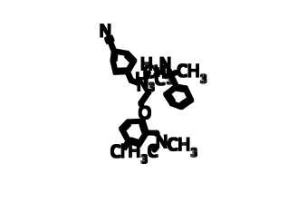 CC(C)(N)c1ccccc1.CN(C)Cc1cc(Cl)ccc1OCCN(C)Cc1ccc(C#N)cc1